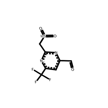 O=Cc1cc(C(F)(F)F)nc(C[SH](=O)=O)n1